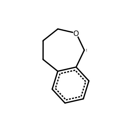 [C]1OCCCc2ccccc21